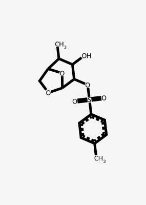 Cc1ccc(S(=O)(=O)OC2C3OCC(O3)C(C)C2O)cc1